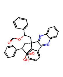 O=COC(CC1(CC(C(=O)O)c2ccccc2)c2ccccc2-c2nc3ccccc3nc21)c1ccccc1